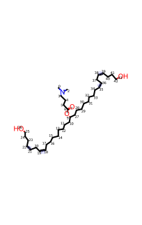 CN(C)CCCC(=O)OC(CCCCCCCC/C=C\C/C=C\CCCO)CCCCCCCC/C=C\C/C=C\CCCO